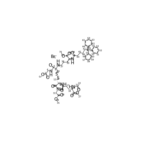 COC(=O)CNC(=O)[C@H](CSSC[C@H](NC(=O)CC[C@H](NC(C)=O)C(=O)OC)C(=O)NCC(=O)OC)NCCC[C@H](NC(=O)CCCC[P+](c1ccccc1)(c1ccccc1)c1ccccc1)C(=O)OC.[Br-]